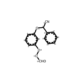 N#CC(Oc1cccc(OOC=O)c1)c1ccccc1